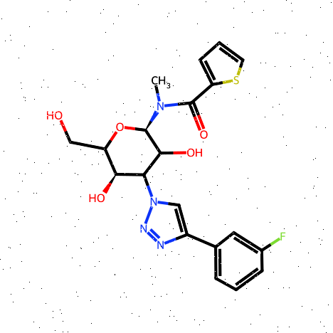 CN(C(=O)c1cccs1)[C@@H]1OC(CO)[C@H](O)C(n2cc(-c3cccc(F)c3)nn2)C1O